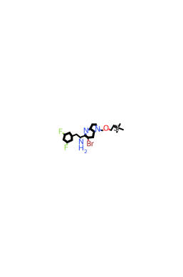 C[Si](C)(C)CCOCn1ccc2nc(C(N)Cc3cc(F)cc(F)c3)c(Br)cc21